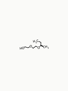 C=C(CC)OCCOCCO